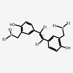 CC/C(=C(/CC)c1ccc(O)c(CN(CC)CC)c1)c1ccc(O)c(CN(CC)CC)c1